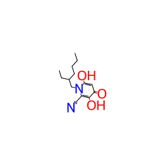 CCCCC(CC)Cn1c(O)cc(=O)c(O)c1C#N